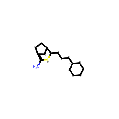 NC1=C2CCC(C2)C(CCCC2CCCCC2)S1